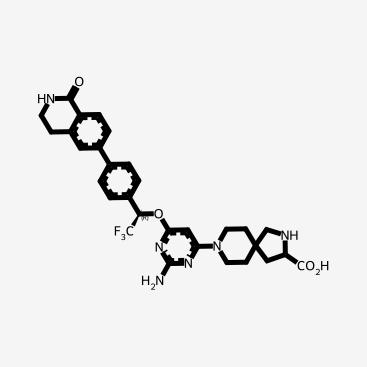 Nc1nc(O[C@H](c2ccc(-c3ccc4c(c3)CCNC4=O)cc2)C(F)(F)F)cc(N2CCC3(CC2)CNC(C(=O)O)C3)n1